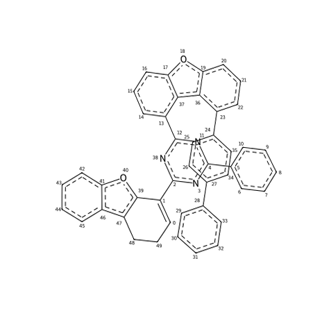 C1=C(c2nc(-c3ccccc3)nc(-c3cccc4oc5cccc(-c6ccc(-c7ccccc7)cc6)c5c34)n2)c2oc3ccccc3c2CC1